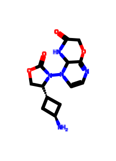 N[C@H]1C[C@H](C2COC(=O)N2N2C=CN=C3OCC(=O)NC32)C1